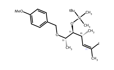 COc1ccc(CO[C@@H](C)[C@@H](O[Si](C)(C)C(C)(C)C)[C@H](C)/C=C(/C)I)cc1